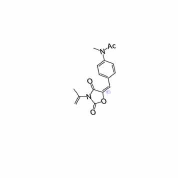 C=C(C)N1C(=O)O/C(=C/c2ccc(N(C)C(C)=O)cc2)C1=O